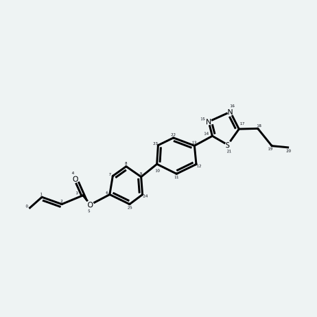 C/C=C/C(=O)Oc1ccc(-c2ccc(-c3nnc(CCC)s3)cc2)cc1